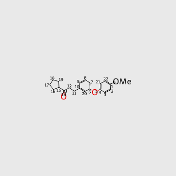 COc1ccc(Oc2cccc(CCC(=O)C3CCCC3)c2)cc1